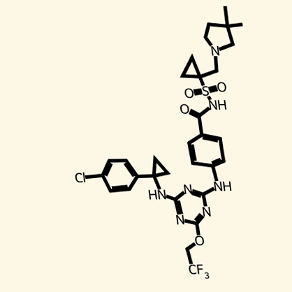 CC1(C)CCN(CC2(S(=O)(=O)NC(=O)c3ccc(Nc4nc(NC5(c6ccc(Cl)cc6)CC5)nc(OCC(F)(F)F)n4)cc3)CC2)C1